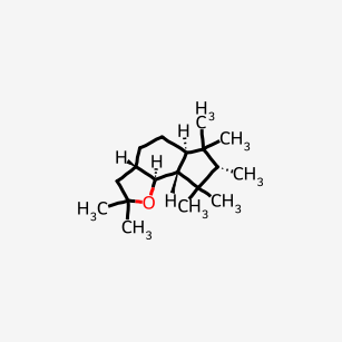 C[C@@H]1C(C)(C)[C@@H]2[C@H]3OC(C)(C)C[C@@H]3CC[C@H]2C1(C)C